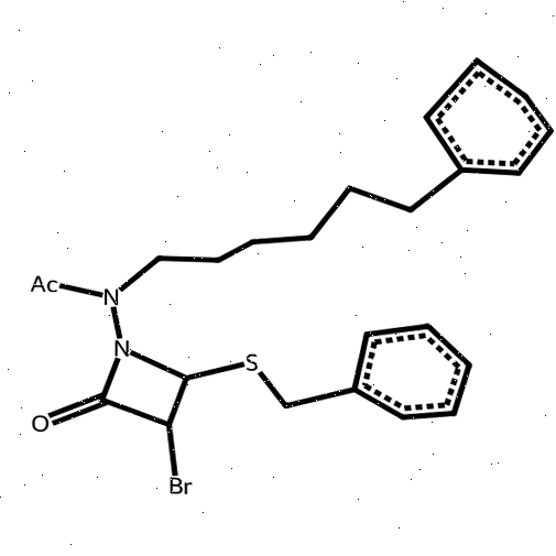 CC(=O)N(CCCCCCc1ccccc1)N1C(=O)C(Br)C1SCc1ccccc1